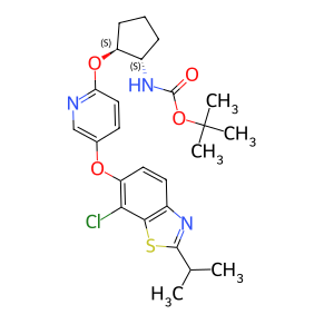 CC(C)c1nc2ccc(Oc3ccc(O[C@H]4CCC[C@@H]4NC(=O)OC(C)(C)C)nc3)c(Cl)c2s1